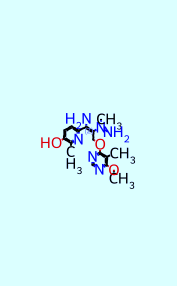 COc1ncnc(OC/C(=C(/N)c2ccc(O)c(C)n2)N(C)N)c1C